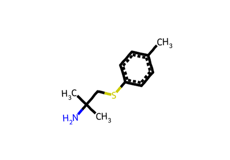 Cc1ccc(SCC(C)(C)N)cc1